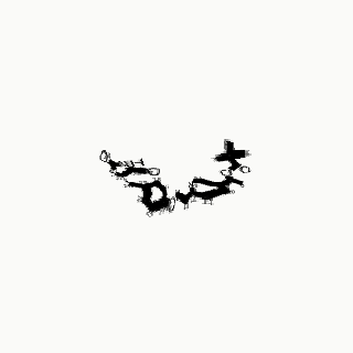 CC(OC(=O)C(C)(C)C)c1ccc(CCOc2ccc(C[C@@H]3SC(=O)NC3=O)cc2)nc1